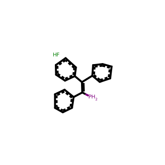 F.PC(=C(c1ccccc1)c1ccccc1)c1ccccc1